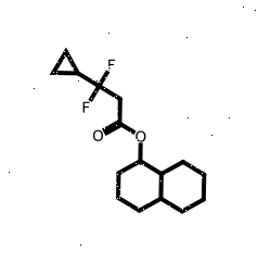 O=C(CC(F)(F)C1CC1)O[C]1CCCC2CCCCC12